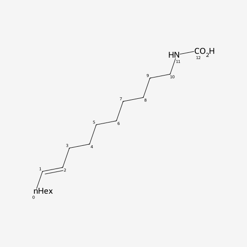 CCCCCCC=CCCCCCCCCNC(=O)O